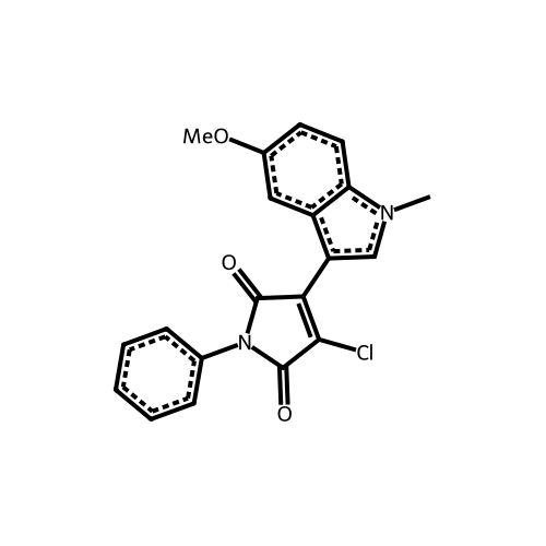 COc1ccc2c(c1)c(C1=C(Cl)C(=O)N(c3ccccc3)C1=O)cn2C